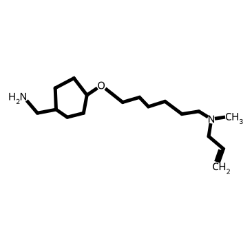 C=CCN(C)CCCCCCOC1CCC(CN)CC1